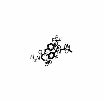 Cc1nnc(-c2nc(-c3cc4c(cc3F)S(=O)(=O)C[C@H](N)C(=O)N4Cc3ccc(OC(F)(F)F)cc3)no2)o1